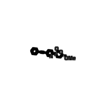 COC[C@@H]1CCN(c2ccc(C#Cc3ccccc3)cn2)C(=O)O1